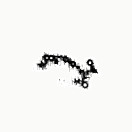 CNC(C)C(=O)NC(C(=O)N1C[C@@H](NC(=O)c2cnc(N3CCN(CCOc4cc5ncnc(Nc6n[nH]c(C)c6C)c5cc4S(=O)(=O)C(C)(C)C)CC3)nc2)C[C@H]1C(=O)Nc1cc(C)nn1-c1ccccc1)C1CCCCC1